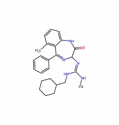 Cc1cccc2c1C(c1ccccc1)=NC(N=C(NC#N)NCC1CCCCC1)C(=O)N2